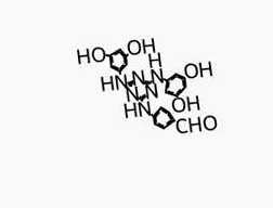 O=Cc1ccc(Nc2nc(Nc3cc(O)cc(O)c3)nc(Nc3cc(O)cc(O)c3)n2)cc1